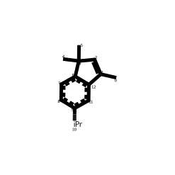 CC1=CC(C)(C)c2ccc(C(C)C)cc21